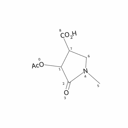 CC(=O)OC1C(=O)N(C)CC1C(=O)O